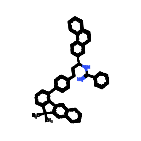 CC1(C)c2cc3ccccc3cc2-c2c(-c3ccc(/C=C/C(NC(=N)c4ccccc4)c4ccc5c(ccc6ccccc65)c4)cc3)cccc21